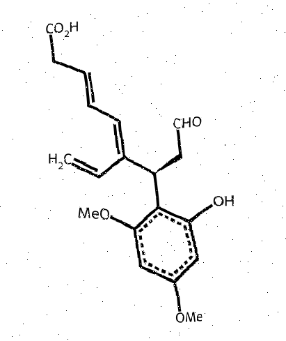 C=C/C(=C\C=C\CC(=O)O)[C@@H](CC=O)c1c(O)cc(OC)cc1OC